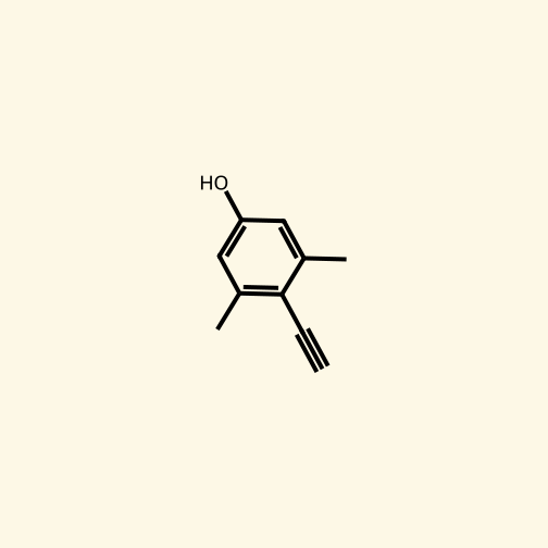 C#Cc1c(C)cc(O)cc1C